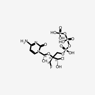 C[C@@H](O[C@](CF)(COP(=O)(O)OP(=O)(O)OP(=O)(O)O)[C@@H](O)Cl)n1ccc(N)nc1=O